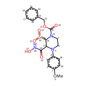 COc1ccc(N2CCN(C(=O)OCc3ccccc3)C(=S(=O)=O)C2C(=O)NO)cc1